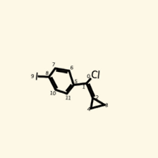 ClC(=C1CC1)c1ccc(I)cc1